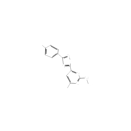 CCc1ccc(-c2noc(-c3cc(C)nc(NC(C)C)n3)n2)cc1